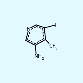 Nc1cncc(I)c1C(F)(F)F